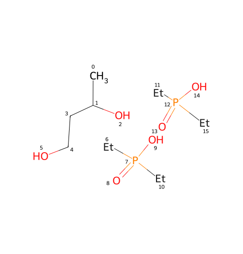 CC(O)CCO.CCP(=O)(O)CC.CCP(=O)(O)CC